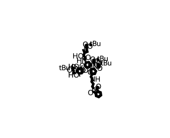 CN(C(=O)OC(C)(C)C)[C@@H]1[C@@H](O)[C@@H](O[C@@H]2[C@@H](O)[C@H](C3OC(CNCCCN4C(=O)c5ccccc5C4=O)=CC[C@H]3NC(=O)OC(C)(C)C)[C@@H](NC(=O)OC(C)(C)C)C[C@H]2NC(=O)C(O)C2CN(C(=O)OC(C)(C)C)C2)OC[C@]1(C)O